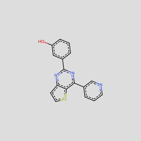 Oc1cccc(-c2nc(-c3cccnc3)c3sccc3n2)c1